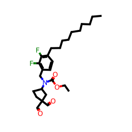 CCCCCCCCCCc1ccc(CN(C(=O)OCC)C2CCC(C=O)(C=O)C2)c(F)c1F